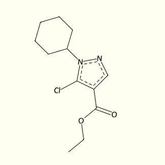 CCOC(=O)c1cnn(C2CCCCC2)c1Cl